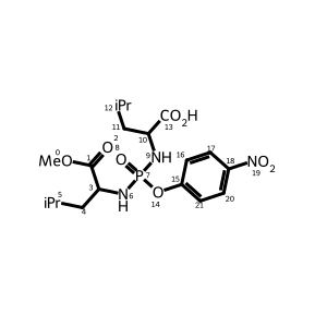 COC(=O)C(CC(C)C)NP(=O)(NC(CC(C)C)C(=O)O)Oc1ccc([N+](=O)[O-])cc1